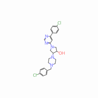 OC1CN(c2cc(-c3ccc(Cl)cc3)ncn2)CC1N1CCN(Cc2ccc(Cl)cc2)CC1